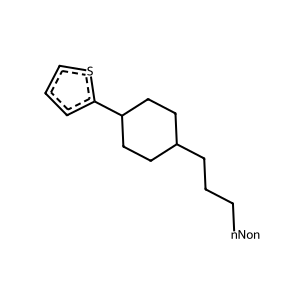 CCCCCCCCCCCCC1CCC(c2cccs2)CC1